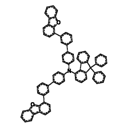 c1ccc(C2(c3ccccc3)c3ccccc3-c3c(N(c4ccc(-c5cccc(-c6cccc7c6oc6ccccc67)c5)cc4)c4ccc(-c5cccc(-c6cccc7c6oc6ccccc67)c5)cc4)cccc32)cc1